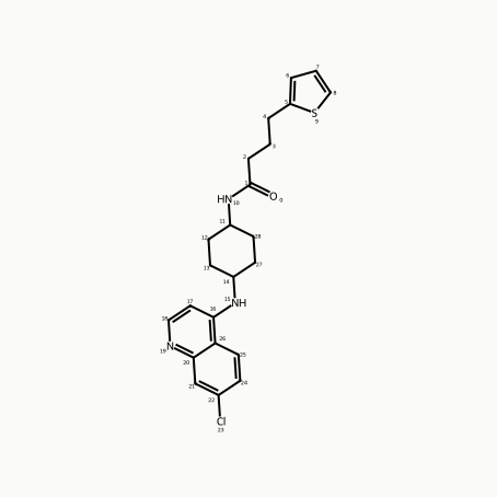 O=C(CCCc1cccs1)NC1CCC(Nc2ccnc3cc(Cl)ccc23)CC1